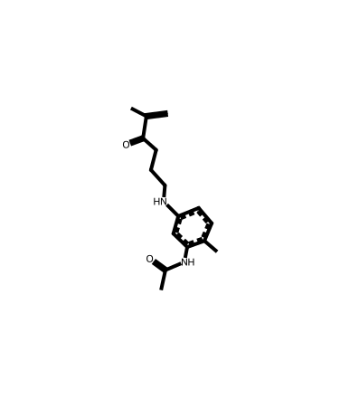 C=C(C)C(=O)CCCNc1ccc(C)c(NC(C)=O)c1